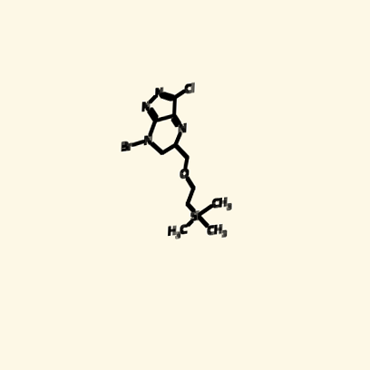 C[Si](C)(C)CCOCC1CN(Br)C2=NN=C(Cl)C2=N1